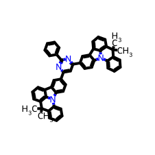 CC1(C)c2ccccc2-n2c3ccc(-c4cc(-c5ccc6c(c5)c5cccc7c5n6-c5ccccc5C7(C)C)nc(-c5ccccc5)n4)cc3c3cccc1c32